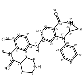 CN(C(=O)C1CCNCC1)c1cc(Nc2cc(N(c3ccccc3)C3CC3)c(C(N)=O)cn2)ccc1Cl